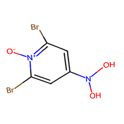 [O-][n+]1c(Br)cc(N(O)O)cc1Br